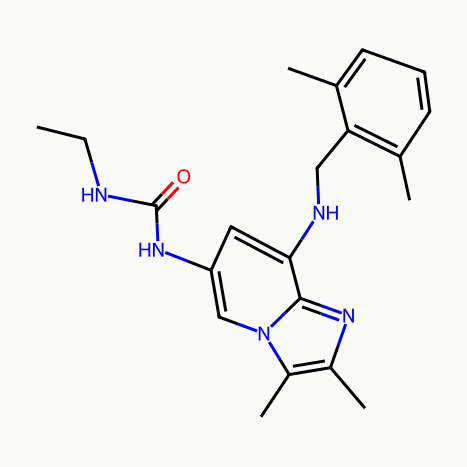 CCNC(=O)Nc1cc(NCc2c(C)cccc2C)c2nc(C)c(C)n2c1